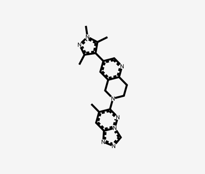 Cc1cc2nncn2nc1N1CCc2ncc(-c3c(C)nn(C)c3C)cc2C1